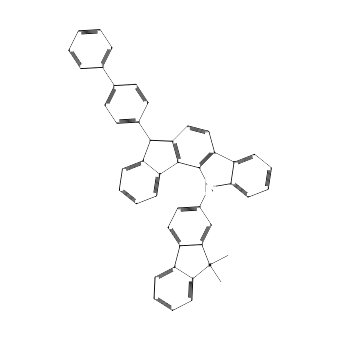 CC1(C)c2ccccc2-c2ccc(-n3c4ccccc4c4ccc5c(c43)-c3ccccc3C5c3ccc(-c4ccccc4)cc3)cc21